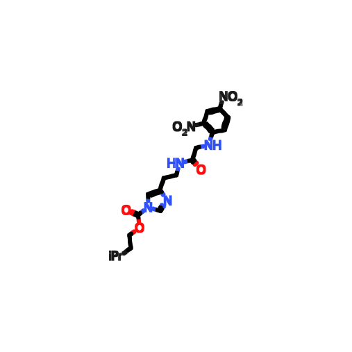 CC(C)CCOC(=O)n1cnc(CCNC(=O)CNc2ccc([N+](=O)[O-])cc2[N+](=O)[O-])c1